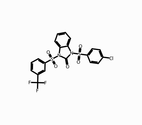 O=c1n(S(=O)(=O)c2ccc(Cl)cc2)c2ccccc2n1S(=O)(=O)c1cccc(C(F)(F)F)c1